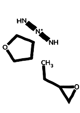 C1CCOC1.CCC1CO1.N=[N+]=N